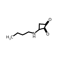 CCCCNC1CC(=O)C1=O